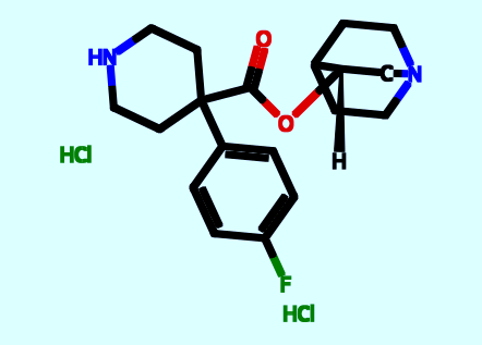 Cl.Cl.O=C(O[C@H]1CN2CCC1CC2)C1(c2ccc(F)cc2)CCNCC1